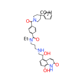 CCN(CCCNCC(O)c1ccc(O)c2[nH]c(=O)ccc12)C(=O)c1ccc(C(=O)N2CCC(C(=O)O)(c3ccccc3)CC2)cc1